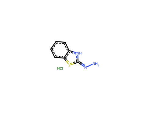 Cl.N/N=c1\[nH]c2ccccc2s1